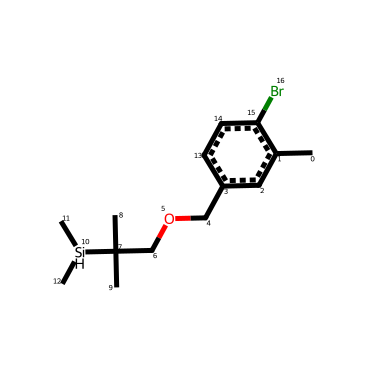 Cc1cc(COCC(C)(C)[SiH](C)C)ccc1Br